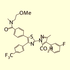 COCCN(C)C(=O)c1ccc(-c2sc(-n3nc(C)c(-c4cccc(F)c4)c3C(=O)O)nc2-c2ccc(C(F)(F)F)cc2)cc1